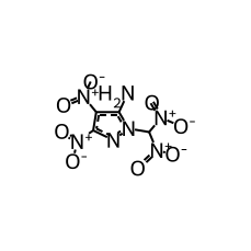 Nc1c([N+](=O)[O-])c([N+](=O)[O-])nn1C([N+](=O)[O-])[N+](=O)[O-]